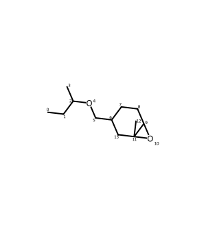 CCC(C)OCC1CCC2OC2(C)C1